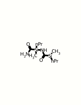 CCC[Si](C)C(=O)N[Si](C)(CCC)C(N)=O